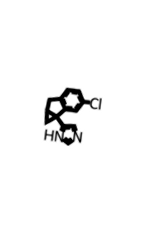 Clc1ccc2c(c1)C1(c3cnc[nH]3)CC1C2